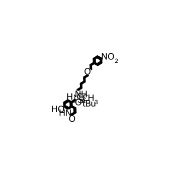 CC(C)(C)[Si](C)(C)O[C@@H](CNCCCCCCOCCc1ccc([N+](=O)[O-])cc1)c1ccc(O)c2[nH]c(=O)ccc12